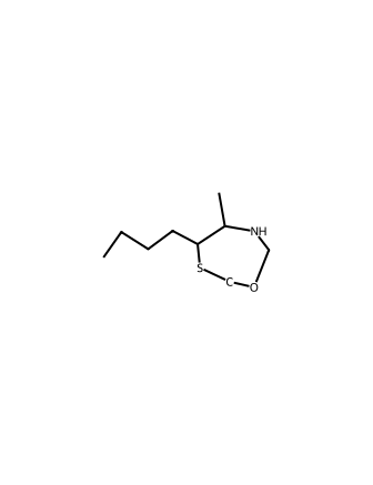 CCCCC1SCOCNC1C